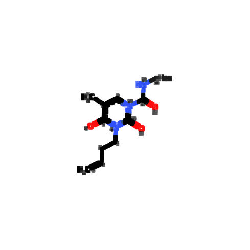 C=CCCn1c(=O)c(C)cn(C(=O)NCCCCCC)c1=O